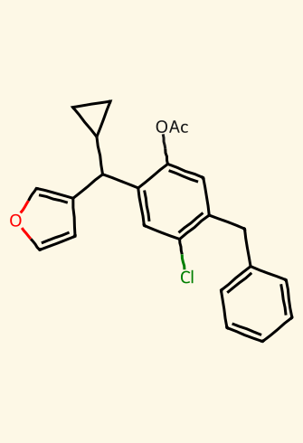 CC(=O)Oc1cc(Cc2ccccc2)c(Cl)cc1C(c1ccoc1)C1CC1